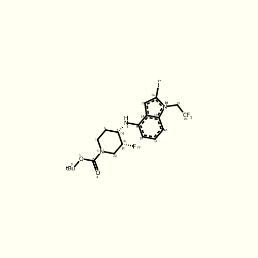 CC(C)(C)OC(=O)N1CC[C@H](Nc2cccc3c2cc(I)n3CC(F)(F)F)[C@H](F)C1